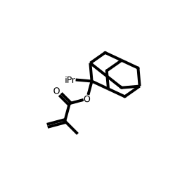 C=C(C)C(=O)OC1(C(C)C)C2CC3CC(C2)CC1C3